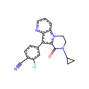 N#Cc1ccc(-c2c3n(c4cccnc24)CCN(C2CC2)C3=O)cc1[18F]